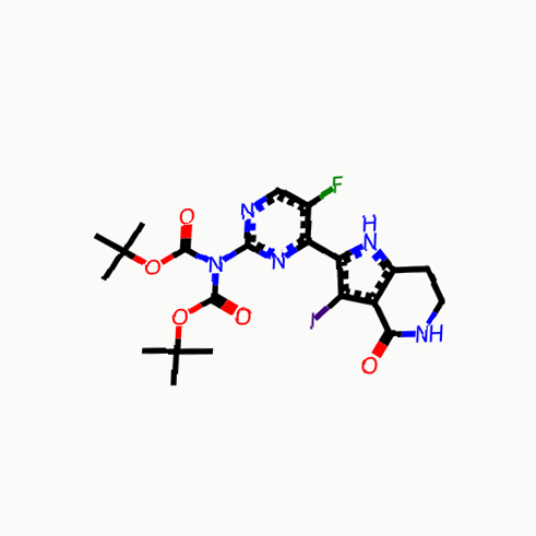 CC(C)(C)OC(=O)N(C(=O)OC(C)(C)C)c1ncc(F)c(-c2[nH]c3c(c2I)C(=O)NCC3)n1